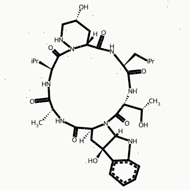 CC(C)C[C@@H]1NC(=O)[C@H]2C[C@@H](O)CNN2C(=O)[C@H](C(C)C)NC(=O)[C@@H](C)NC(=O)[C@@H]2C[C@@]3(O)c4ccccc4N[C@H]3N2C(=O)[C@@H]([C@H](C)O)NC1=O